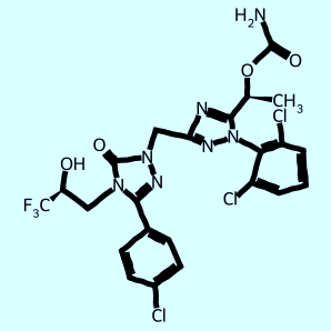 C[C@H](OC(N)=O)c1nc(Cn2nc(-c3ccc(Cl)cc3)n(C[C@H](O)C(F)(F)F)c2=O)nn1-c1c(Cl)cccc1Cl